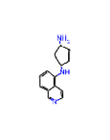 N[C@H]1CC[C@@H](Nc2cccc3cnccc23)CC1